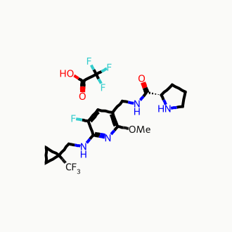 COc1nc(NCC2(C(F)(F)F)CC2)c(F)cc1CNC(=O)[C@@H]1CCCN1.O=C(O)C(F)(F)F